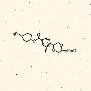 CCCCCC1COC(c2ccc(C(=O)OC3CCC(CCC)CC3)cc2F)CO1